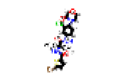 CC(C)(NC(=O)c1ccc(Br)s1)C(=O)Nc1ccc(N2CCOCC2=O)c(Cl)c1